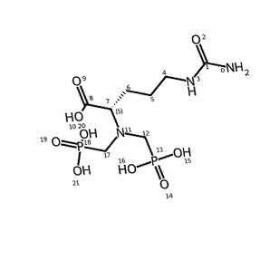 NC(=O)NCCC[C@@H](C(=O)O)N(CP(=O)(O)O)CP(=O)(O)O